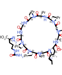 C/C=C/C[C@@H](C)[C@@H](O)[C@H]1C(=O)N[C@@H](CC)C(=O)N(C)CC(=O)N(C)[C@@H](CC(C)C)C(=O)N[C@@H](C(C)C)C(=O)N(C)[C@@H](CC(C)C)C(=O)N[C@@H](C)C(=O)N[C@H](C)C(=O)N(C)[C@@H](CC(C)C)C(=O)N(C)[C@@H](CC(C)C)C(=O)N(C)[C@@H](C(C)C)C(=O)N1C.NC(=O)NCCC[C@H](N)C(=O)O